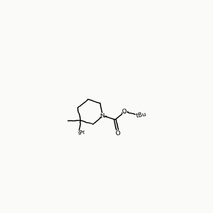 CC(C)C1(C)CCCN(C(=O)OC(C)(C)C)C1